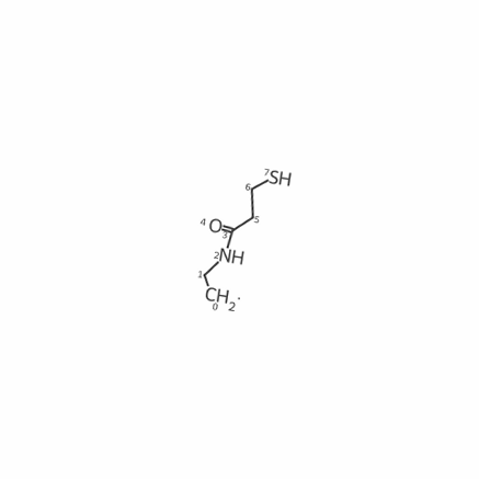 [CH2]CNC(=O)CCS